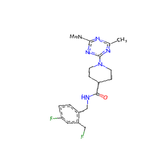 CNc1nc(C)nc(N2CCC(C(=O)NCc3ccc(F)cc3CF)CC2)n1